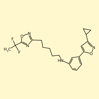 CC(F)(F)c1nc(CCCCCNc2cccc(-c3cc(C4CC4)no3)c2)no1